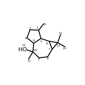 CC1CCC2C1C1C(CCC2(C)O)C1(C)C